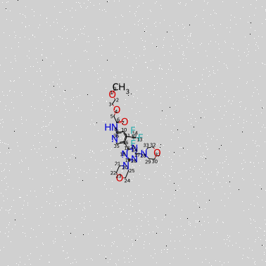 COCCOCC(=O)Nc1cc(C(F)(F)F)c(-c2nc(N3CCOCC3)nc(N3CCOCC3)n2)cn1